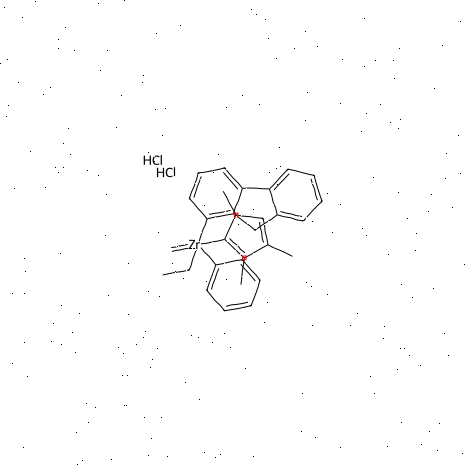 Cl.Cl.[CH2]=[Zr]([CH2]C)([C]1=C(C)C(C)=CC1C)([c]1ccccc1)[c]1cccc2c1Cc1ccccc1-2